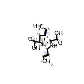 C/C=C/CNCC(=O)O.C/C=C\CC(N)C(=O)O